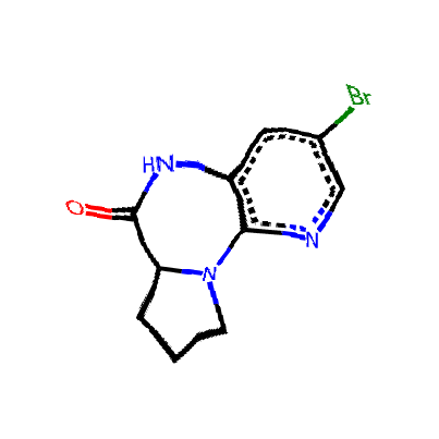 O=C1Nc2cc(Br)cnc2N2CCCC12